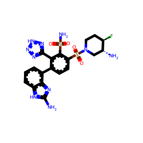 Nc1nc2c(-c3ccc(S(=O)(=O)N4CC[C@@H](F)[C@H](N)C4)c(S(N)(=O)=O)c3-c3nn[nH]n3)cccc2[nH]1